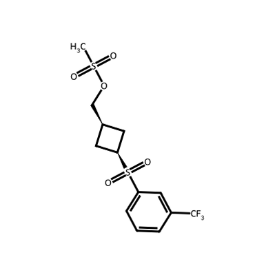 CS(=O)(=O)OC[C@H]1C[C@@H](S(=O)(=O)c2cccc(C(F)(F)F)c2)C1